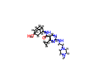 CN1CCN(CCNc2ncc(C(=O)NC3C4CC5CC3CC(O)(C5)C4)c(C3CC3)n2)CC1